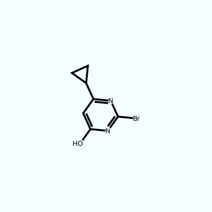 Oc1cc(C2CC2)nc(Br)n1